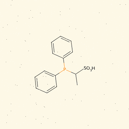 CC(P(c1ccccc1)c1ccccc1)S(=O)(=O)O